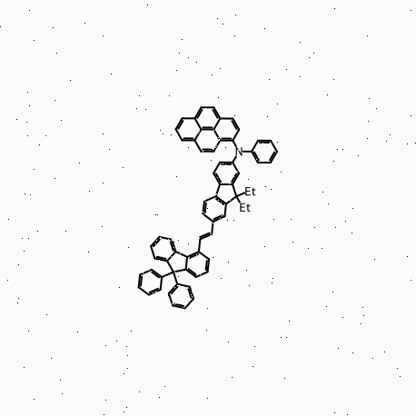 CCC1(CC)c2cc(/C=C/c3cccc4c3-c3ccccc3C4(c3ccccc3)c3ccccc3)ccc2-c2ccc(N(c3ccccc3)c3ccc4ccc5cccc6ccc3c4c56)cc21